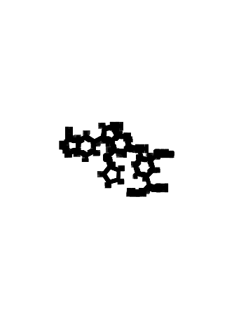 CNC(O)c1ccc(Nc2nc(OC3CCCC3)c3c(-c4ccc5nn[nH]c5c4)c[nH]c3n2)c(OC)c1